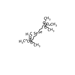 CCO[Si](CCC[Se][Se]CCC[Si](OCC)(OCC)OCC)(OCC)OCC